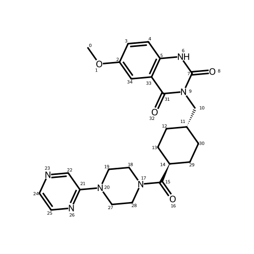 COc1ccc2[nH]c(=O)n(C[C@H]3CC[C@H](C(=O)N4CCN(c5cnccn5)CC4)CC3)c(=O)c2c1